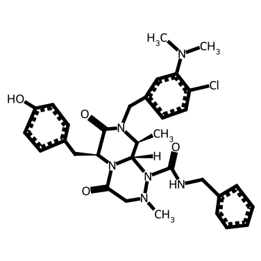 C[C@H]1[C@H]2N(C(=O)CN(C)N2C(=O)NCc2ccccc2)[C@@H](Cc2ccc(O)cc2)C(=O)N1Cc1ccc(Cl)c(N(C)C)c1